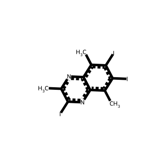 Cc1nc2c(C)c(I)c(I)c(C)c2nc1I